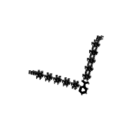 CC(C)c1ccccc1.F[P-](F)(F)(F)(F)F.F[P-](F)(F)(F)(F)F.F[P-](F)(F)(F)(F)F.F[P-](F)(F)(F)(F)F.F[P-](F)(F)(F)(F)F.F[P-](F)(F)(F)(F)F.F[P-](F)(F)(F)(F)F.F[P-](F)(F)(F)(F)F.F[P-](F)(F)(F)(F)F.F[P-](F)(F)(F)(F)F.[Fe+2].[Fe+2].[Fe+2].[Fe+2].[Fe+2]